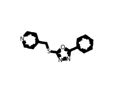 c1ccc(-c2nnc(SCc3ccncc3)o2)cc1